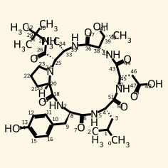 CC(C)C[C@@H]1NC(=O)[C@@H](Cc2ccc(O)cc2)NC(=O)[C@@H]2CCCN2[C@H](C(=O)NC(C)(C)C)[C@H](C)NC(=O)[C@H]([C@@H](C)O)NC(=O)[C@H](CC(=O)O)NC1=O